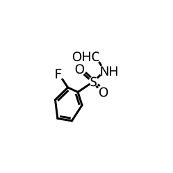 O=CNS(=O)(=O)c1ccccc1F